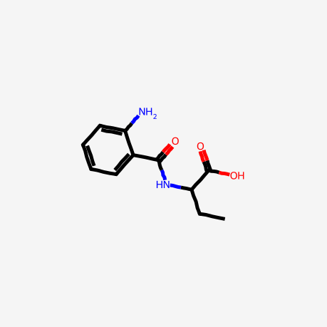 CCC(NC(=O)c1ccccc1N)C(=O)O